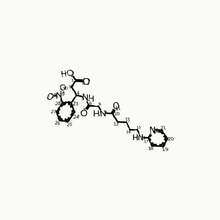 O=C(O)CC(NC(=O)CNC(=O)CCCCNc1ccccn1)c1ccccc1[N+](=O)[O-]